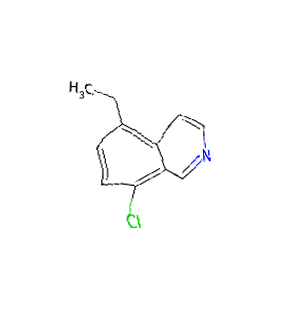 CCc1ccc(Cl)c2cnccc12